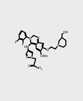 COc1cc2c(cc1OCCN1CCCC(CO)C1)=NCN(c1cccc(F)c1F)C=2Nc1cnn(CC(N)=O)c1